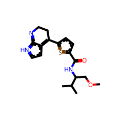 COCC(NC(=O)c1ccc(C2=c3cc[nH]c3=NCC2)s1)C(C)C